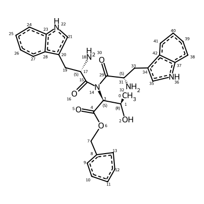 C[C@@H](O)[C@@H](C(=O)OCc1ccccc1)N(C(=O)[C@@H](N)Cc1c[nH]c2ccccc12)C(=O)[C@@H](N)Cc1c[nH]c2ccccc12